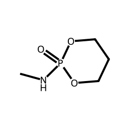 CNP1(=O)OCCCO1